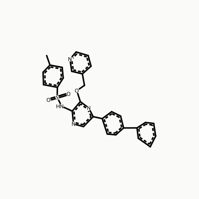 Cc1ccc(S(=O)(=O)Nc2ncc(-c3ccc(-c4ccccc4)cc3)nc2OCc2cccnc2)cc1